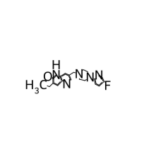 CCc1cc2ncc(CN3CCN(c4ccc(F)cn4)CC3)cc2[nH]c1=O